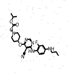 CCCNc1ccc(Nc2ncnc(OC3CCN(OC(=O)OC(C)C)CC3)c2C#N)c(F)c1